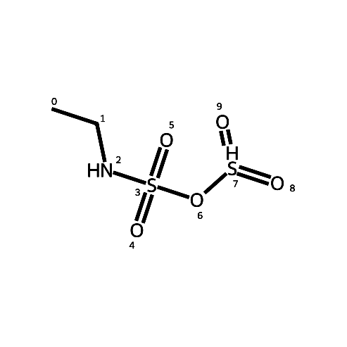 CCNS(=O)(=O)O[SH](=O)=O